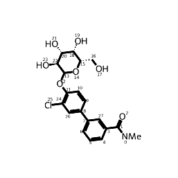 CNC(=O)c1cccc(-c2ccc(OC3O[C@@H](CO)[C@@H](O)[C@@H](O)[C@@H]3O)c(Cl)c2)c1